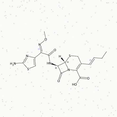 CC/C=C/C1=C(C(=O)O)N2C(=O)[C@@H](NC(=O)/C(=N\OC)c3csc(N)n3)[C@@H]2SC1